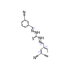 C#C\C(C#N)=C/C(/C=N/NC(=S)N/N=C/c1cccc(C#N)c1)=C\C